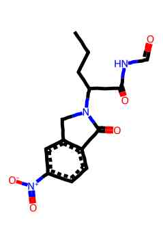 CCCC(C(=O)NC=O)N1Cc2cc([N+](=O)[O-])ccc2C1=O